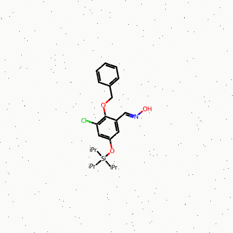 CC(C)[Si](Oc1cc(Cl)c(OCc2ccccc2)c(C=NO)c1)(C(C)C)C(C)C